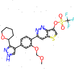 COCOc1cc(-c2c[nH]nc2C2CCCCO2)ccc1-c1cc2scc(OS(=O)(=O)C(F)(F)F)c2nn1